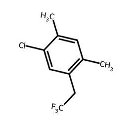 Cc1cc(C)c(CC(F)(F)F)cc1Cl